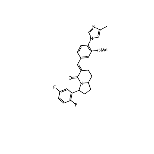 COc1cc(/C=C2\CCC3CCC(c4cc(F)ccc4F)N3C2=O)ccc1-n1cnc(C)c1